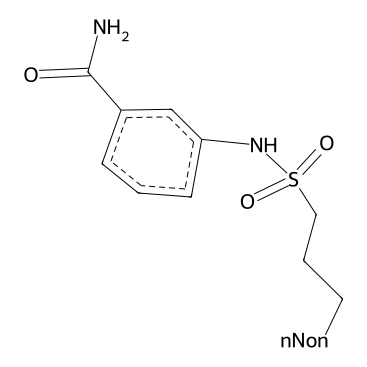 CCCCCCCCCCCCS(=O)(=O)Nc1cccc(C(N)=O)c1